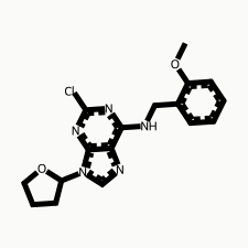 COc1ccccc1CNc1nc(Cl)nc2c1ncn2C1CCCO1